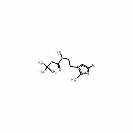 Cc1nc(Br)cn1CCN(C)C(=O)OC(C)(C)C